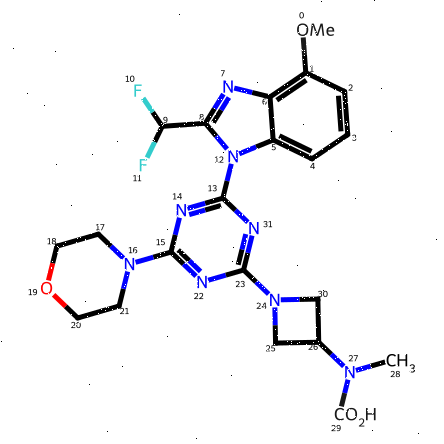 COc1cccc2c1nc(C(F)F)n2-c1nc(N2CCOCC2)nc(N2CC(N(C)C(=O)O)C2)n1